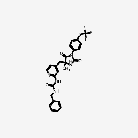 CC1(Cc2ccnc(NC(=O)NCc3ccccc3)c2)NC(=O)N(c2ccc(SC(F)(F)F)cc2)C1=O